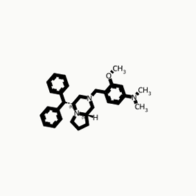 COc1cc(N(C)C)ccc1CN1C[C@@H]2CCCN2[C@H](C(c2ccccc2)c2ccccc2)C1